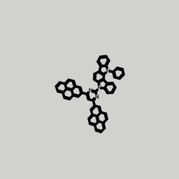 c1ccc(-n2c3ccccc3c3ccc4c(c5ccccc5n4-c4nc(-c5cc6ccc7cccc8ccc(c5)c6c78)cc(-c5cc6ccc7cccc8ccc(c5)c6c78)n4)c32)cc1